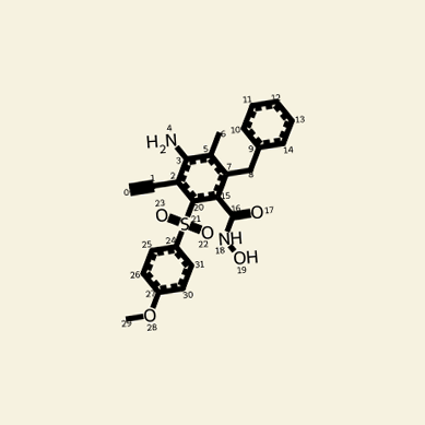 C#Cc1c(N)c(C)c(Cc2ccccc2)c(C(=O)NO)c1S(=O)(=O)c1ccc(OC)cc1